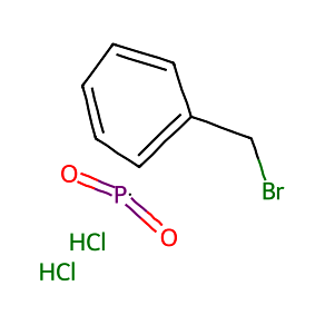 BrCc1ccccc1.Cl.Cl.O=[P]=O